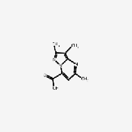 Cc1cc(C(=O)O)n2nc(C)c(C)c2n1